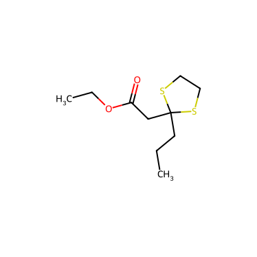 CCCC1(CC(=O)OCC)SCCS1